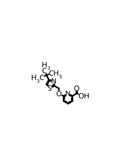 CC(C)(C)c1csc(COc2cccc(C(=O)O)n2)n1